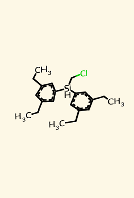 CCc1cc(CC)cc([SiH](CCl)c2cc(CC)cc(CC)c2)c1